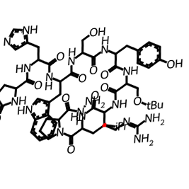 CC(C)CC(NC(=O)C(COC(C)(C)C)NC(=O)C(Cc1ccc(O)cc1)NC(=O)C(CO)NC(=O)C(Cc1c[nH]c2ccccc12)NC(=O)C(Cc1cnc[nH]1)NC(=O)C1CCC(=O)N1)C(=O)NC(CCCN=C(N)N)C(=O)N1CCCC1C(=O)NN